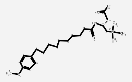 COc1ccc(CCCCCCCCCC(=O)N[C@H](CC(=O)[O-])C[N+](C)(C)C)cc1